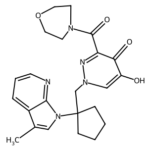 Cc1cn(C2(Cn3cc(O)c(=O)c(C(=O)N4CCOCC4)n3)CCCC2)c2ncccc12